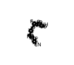 N#Cc1ccc(N2CCn3c(-c4ccc(COc5cc(F)cc6c5CN([C@H]5CCC(=O)NC5=O)C6=O)cc4)cnc3C2)c(F)c1